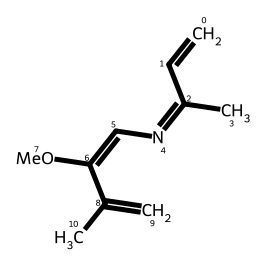 C=C/C(C)=N\C=C(\OC)C(=C)C